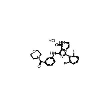 Cl.O=C(c1cccc(Nc2nc(-c3c(F)cccc3F)n3cc[nH]c(=O)c23)c1)N1CCOCC1